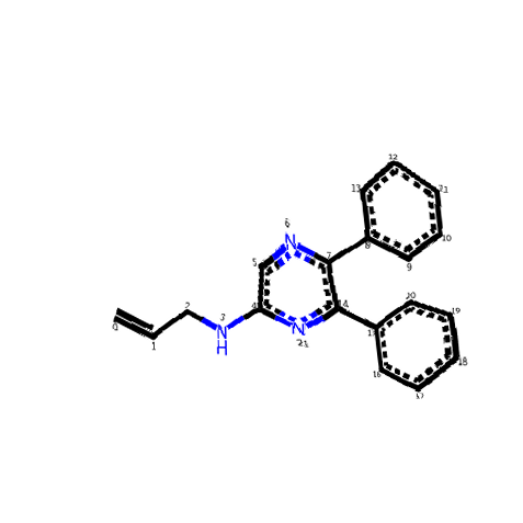 C=CCNc1cnc(-c2ccccc2)c(-c2ccccc2)n1